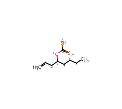 C=CCC(CCCC)OC(=S)S